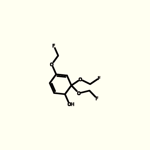 OC1C=CC(OCF)=CC1(OCF)OCF